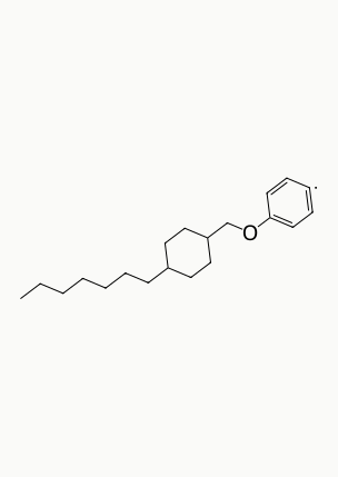 CCCCCCCC1CCC(COc2cc[c]cc2)CC1